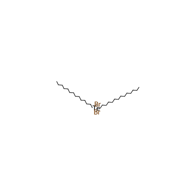 CCCCCCCCCCCCCC[Te](Br)(Br)CCCCCCCCCCCCCC